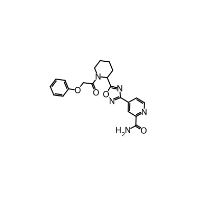 NC(=O)c1cc(-c2noc(C3CCCCN3C(=O)COc3ccccc3)n2)ccn1